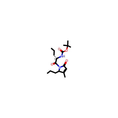 CCCC1C(C)=CC(=O)N1C(=O)[C@H](CCC)NC(=O)OC(C)(C)C